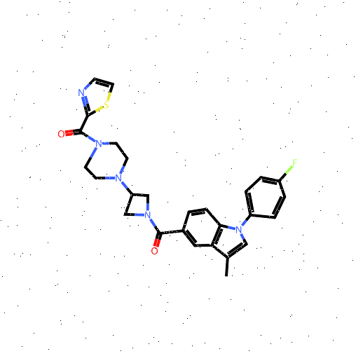 Cc1cn(-c2ccc(F)cc2)c2ccc(C(=O)N3CC(N4CCN(C(=O)c5nccs5)CC4)C3)cc12